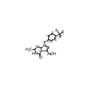 CC1=NC2C(C(=O)N1)C(CO)=NN2Cc1ccc(C(F)(F)F)cc1